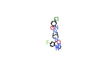 O=C(c1cc(F)ccc1-n1nccn1)N1CC2CC(C1)CN(c1nc3cc(Cl)ccc3o1)C2